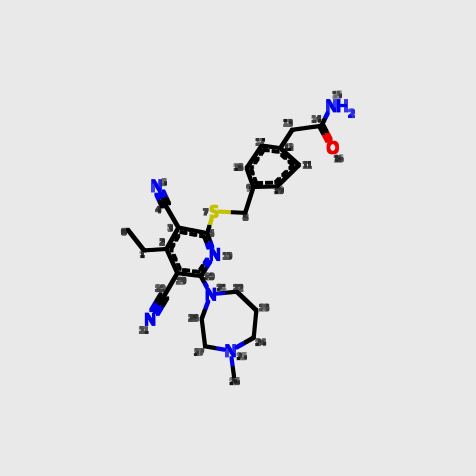 CCc1c(C#N)c(SCc2ccc(CC(N)=O)cc2)nc(N2CCCN(C)CC2)c1C#N